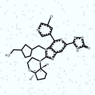 CCC1CCC(Cn2c(N3CCO[C@@H]4CCC[C@H]43)nc3cc(-c4noc(=O)[nH]4)nc(-c4cncc(Cl)c4)c32)C1